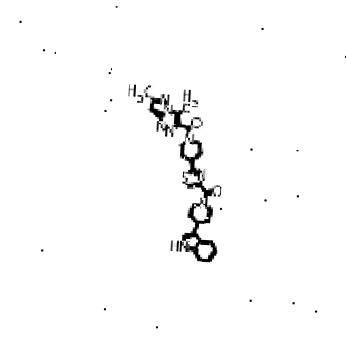 Cc1cc2nnc(C(=O)N3CCC(c4nc(C(=O)N5CCC(c6c[nH]c7ccccc67)CC5)cs4)CC3)c(C)n2n1